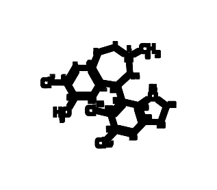 CN1CCc2cc(Cl)c(O)cc2C(c2c(Cl)c(Cl)cc3c2OCC3)C1